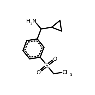 CCS(=O)(=O)c1cccc(C(N)C2CC2)c1